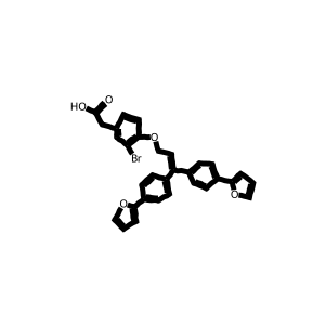 O=C(O)Cc1ccc(OCC=C(c2ccc(-c3ccco3)cc2)c2ccc(-c3ccco3)cc2)c(Br)c1